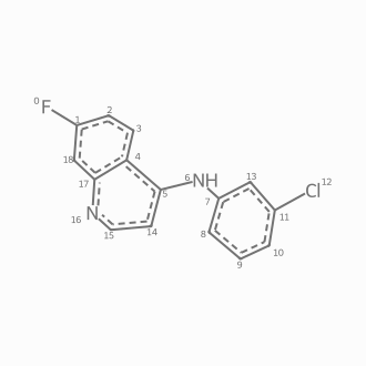 Fc1ccc2c(Nc3cccc(Cl)c3)ccnc2c1